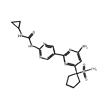 CS(=O)(=O)C1(c2cc(N)nc(-c3cnc(NC(=O)NC4CC4)nc3)n2)CCCC1